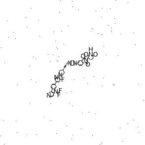 O=C1CCC(N2C(=O)c3ccc(N4CCN(CC#CC5CCN(c6ncc(-c7ccc8c9cnccc9n(C(F)F)c8c7)cc6F)CC5)CC4)cc3C2=O)C(=O)N1